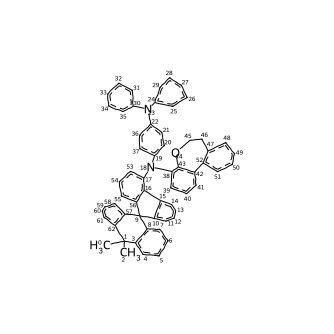 CC1(C)c2ccccc2C2(c3ccccc3-c3c(N(c4ccc(N(c5ccccc5)c5ccccc5)cc4)c4cccc5c4OCCc4ccccc4-5)cccc32)c2ccccc21